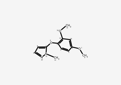 COc1ccc(Oc2c[c]nn2C)c(OC)c1